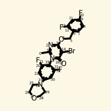 Cc1nc(OCc2ccc(F)cc2F)c(Br)c(=O)n1-c1c(F)cc(N2CCOCC2)cc1F